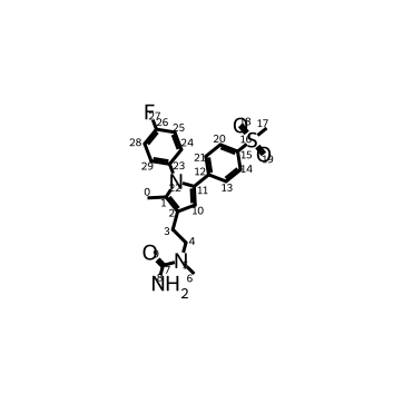 Cc1c(CCN(C)C(N)=O)cc(-c2ccc(S(C)(=O)=O)cc2)n1-c1ccc(F)cc1